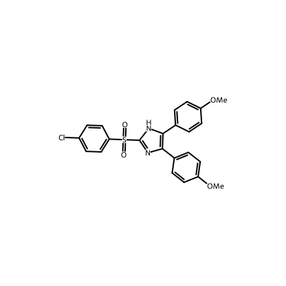 COc1ccc(-c2nc(S(=O)(=O)c3ccc(Cl)cc3)[nH]c2-c2ccc(OC)cc2)cc1